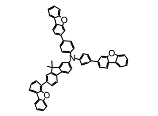 CC1(C)c2cc(-c3cccc4c3oc3ccccc34)ccc2-c2ccc(N(c3ccc(-c4ccc5c(c4)oc4ccccc45)cc3)c3ccc(-c4ccc5c(c4)oc4ccccc45)cc3)cc21